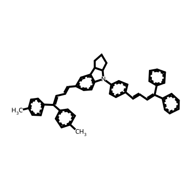 Cc1ccc(C(=C/C=C/c2ccc3c(c2)C2CCCC2N3c2ccc(/C=C/C=C(c3ccccc3)c3ccccc3)cc2)c2ccc(C)cc2)cc1